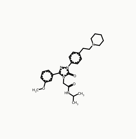 COc1cccc(-c2nn(-c3ccc(CCN4CCCCC4)cc3)c(=O)n2CC(=O)NC(C)C)c1